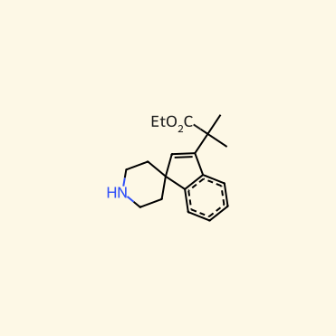 CCOC(=O)C(C)(C)C1=CC2(CCNCC2)c2ccccc21